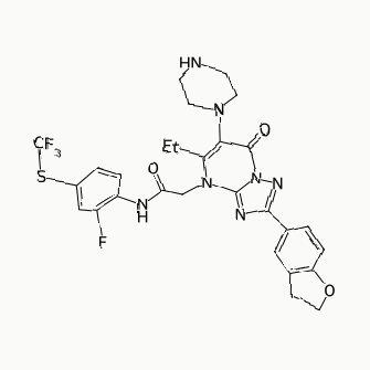 CCc1c(N2CCNCC2)c(=O)n2nc(-c3ccc4c(c3)CCO4)nc2n1CC(=O)Nc1ccc(SC(F)(F)F)cc1F